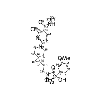 COc1cccc(C(O)(C(=O)N(C)CC[C@H]2CC23CCN(c2ccc(C(=O)NC(C)C)c(Cl)n2)CC3)C(F)(F)F)c1